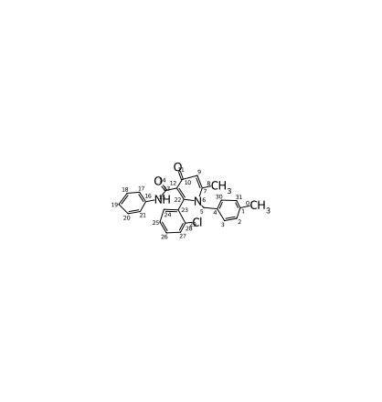 Cc1ccc(Cn2c(C)cc(=O)c(C(=O)Nc3ccccc3)c2-c2ccccc2Cl)cc1